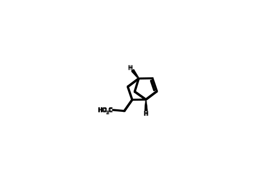 O=C(O)CC1C[C@@H]2C=C[C@H]1C2